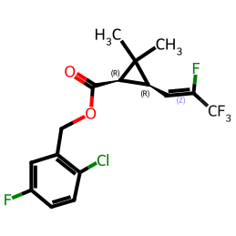 CC1(C)[C@H](C(=O)OCc2cc(F)ccc2Cl)[C@@H]1/C=C(\F)C(F)(F)F